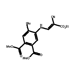 CCOC(=O)C(C#N)=CNc1cc(C(=O)OC)c(C(=O)OC)cc1C(C)(C)C